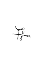 NS(=O)(=O)C(F)(F)C(=O)F